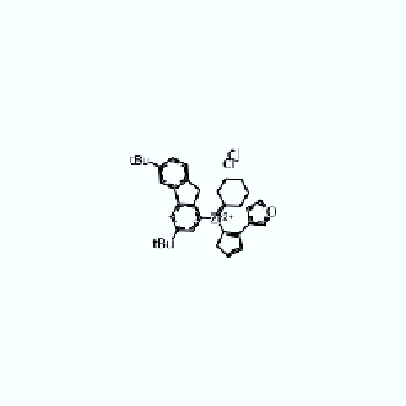 CC(C)(C)c1ccc2c(c1)-c1cc(C(C)(C)C)c[c]([Zr+2]([C]3=C(c4ccoc4)C=CC3)=[C]3CCCCC3)c1C2.[Cl-].[Cl-]